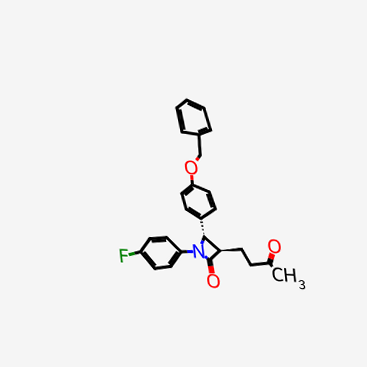 CC(=O)CC[C@H]1C(=O)N(c2ccc(F)cc2)[C@@H]1c1ccc(OCc2ccccc2)cc1